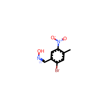 Cc1cc(Br)c(/C=N\O)cc1[N+](=O)[O-]